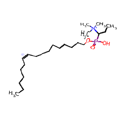 CCCCCC/C=C\CCCCCCCCCOP(=O)(O)C(CC)[N+](C)(C)C